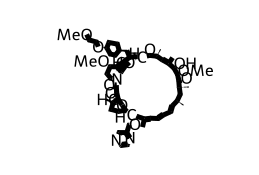 COCCO[C@@H]1CC[C@@H](CC2[C@H]3CCCN4C(=O)C(=O)[C@]5(O)O[C@@H](CC[C@H]5C)C[C@H](OCc5cnccn5)/C(C)=C/C=C/C=C/[C@@H](C)C[C@@H](C)C(=O)[C@H](OC)[C@H](O)/C(C)=C/[C@@H](C)C(=O)C[C@@H]2OC(=O)C34)C[C@H]1OC